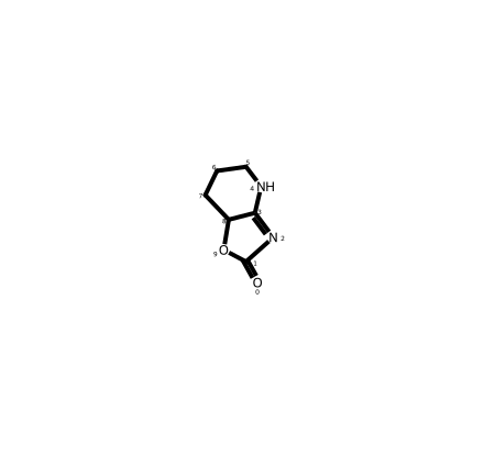 O=C1N=C2NCCCC2O1